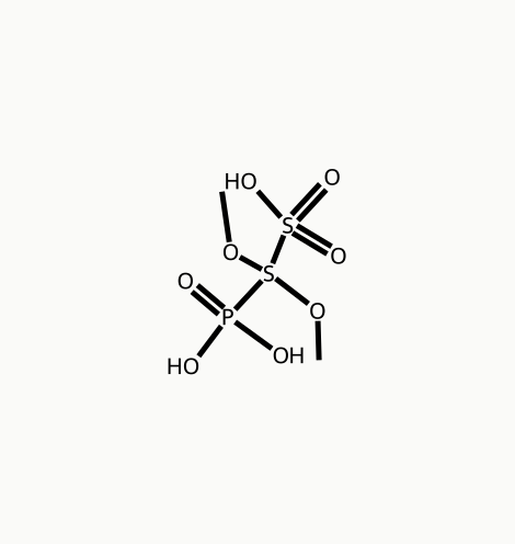 COS(OC)(P(=O)(O)O)S(=O)(=O)O